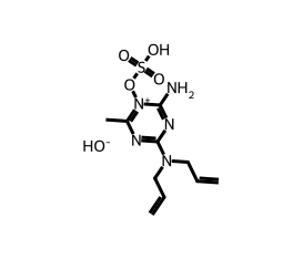 C=CCN(CC=C)c1nc(C)[n+](OS(=O)(=O)O)c(N)n1.[OH-]